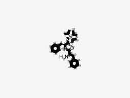 CC(C)[Si](OC(=O)[C@H](Cc1ccccc1)NC(=O)[C@@H](N)Cc1ccccc1)(C(C)C)C(C)C